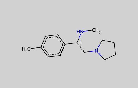 CN[C@H](CN1CCCC1)c1ccc(C)cc1